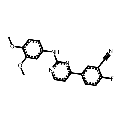 COc1ccc(Nc2nccc(-c3ccc(F)c(C#N)c3)n2)cc1OC